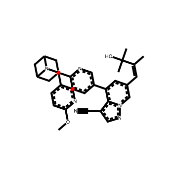 COc1ccc(CN2C3CC2CN(c2ccc(-c4cc(/C=C(/C)C(C)(C)O)cn5ncc(C#N)c45)cn2)C3)cn1